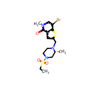 CCS(=O)(=O)N1CCN(Cc2cc3c(=O)n(C)cc(Br)c3s2)[C@H](C)C1